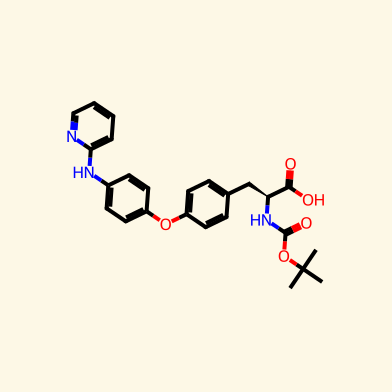 CC(C)(C)OC(=O)N[C@@H](Cc1ccc(Oc2ccc(Nc3ccccn3)cc2)cc1)C(=O)O